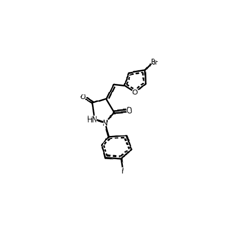 O=C1NN(c2ccc(I)cc2)C(=O)C1=Cc1cc(Br)co1